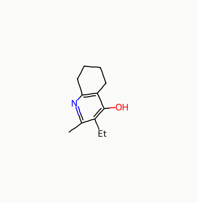 CCc1c(C)nc2c(c1O)CCCC2